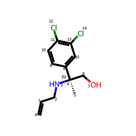 C=CCN[C@](C)(CO)c1ccc(Cl)c(Cl)c1